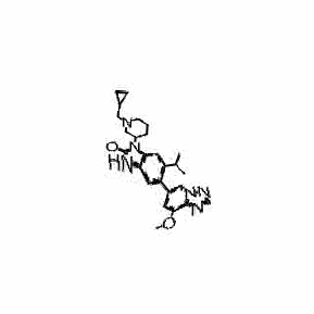 COc1cc(-c2cc3[nH]c(=O)n(C4CCCN(CC5CC5)C4)c3cc2C(C)C)cn2ncnc12